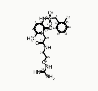 Cc1ccc(NS(=O)(=O)Cc2ccccc2I)c(=O)n1CC(=O)NCCONC(=N)N